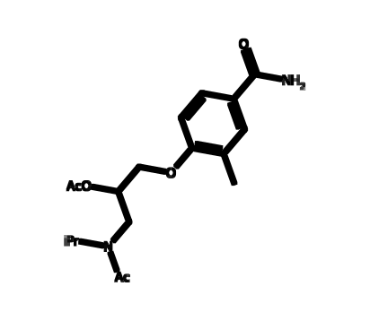 CC(=O)OC(COc1ccc(C(N)=O)cc1C)CN(C(C)=O)C(C)C